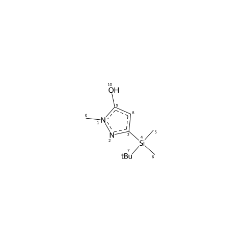 Cn1nc([Si](C)(C)C(C)(C)C)cc1O